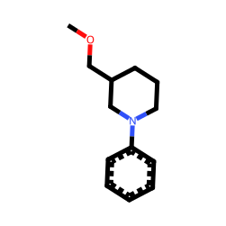 COCC1CCCN(c2ccccc2)C1